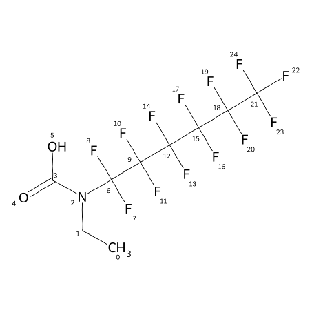 CCN(C(=O)O)C(F)(F)C(F)(F)C(F)(F)C(F)(F)C(F)(F)C(F)(F)F